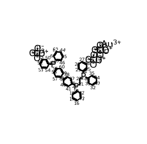 [Au+3].[O-][Cl+3]([O-])([O-])[O-].[O-][Cl+3]([O-])([O-])[O-].[O-][Cl+3]([O-])([O-])[O-].c1ccc(P(CCP(c2ccccc2)c2ccccc2)c2ccccc2)cc1.c1ccc(P(c2ccccc2)c2ccccc2)cc1